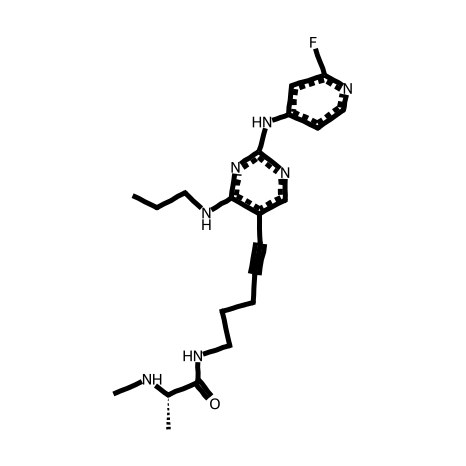 CCCNc1nc(Nc2ccnc(F)c2)ncc1C#CCCCNC(=O)[C@H](C)NC